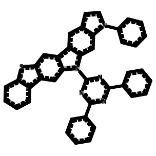 c1ccc(-c2nc(-c3ccccc3)nc(-n3c4cc5c(cc4c4cc6ccn(-c7ccccc7)c6cc43)sc3ccccc35)n2)cc1